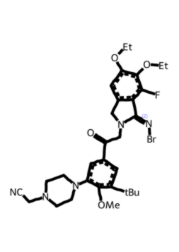 CCOc1cc2c(c(F)c1OCC)/C(=N/Br)N(CC(=O)c1cc(N3CCN(CC#N)CC3)c(OC)c(C(C)(C)C)c1)C2